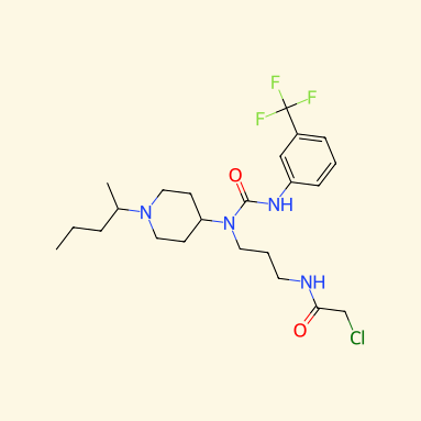 CCCC(C)N1CCC(N(CCCNC(=O)CCl)C(=O)Nc2cccc(C(F)(F)F)c2)CC1